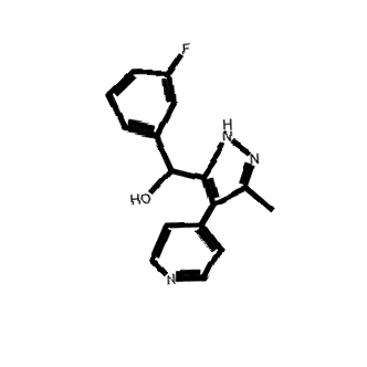 Cc1n[nH]c(C(O)c2cccc(F)c2)c1-c1ccncc1